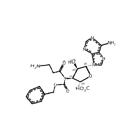 NCCC(=O)N(C(=O)OCc1ccccc1)[C@H]1[C@@H](O)[C@H](n2cnc3c(N)ncnc32)O[C@@H]1C(=O)O